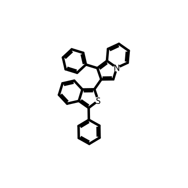 c1ccc(-c2sc(-c3cn4ccccc4c3-c3ccccc3)c3ccccc23)cc1